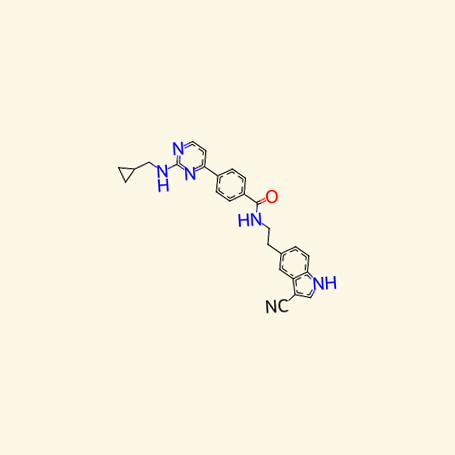 N#Cc1c[nH]c2ccc(CCNC(=O)c3ccc(-c4ccnc(NCC5CC5)n4)cc3)cc12